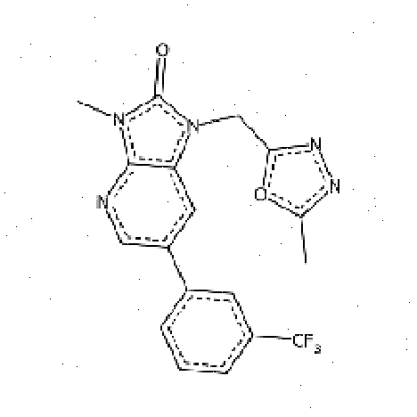 Cc1nnc(Cn2c(=O)n(C)c3ncc(-c4cccc(C(F)(F)F)c4)cc32)o1